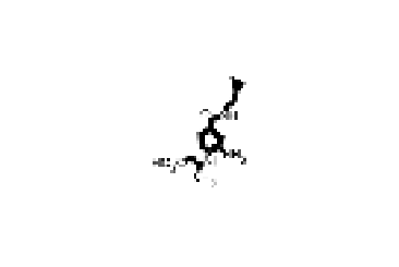 CC(CC(=O)O)Nc1ccc(C(=O)NCCC2CC2)cc1N